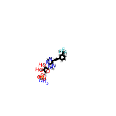 NS(=O)(=O)OC[C@H]1O[C@@H](n2cnc3c(C#Cc4cccc(C(F)(F)F)c4)ncnc32)[C@H](O)[C@@H]1O